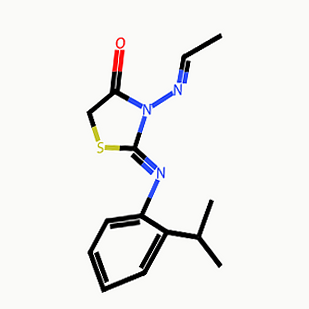 C/C=N/N1C(=O)CS/C1=N\c1ccccc1C(C)C